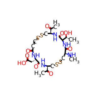 CN[C@H]1CSSC[C@@H](C(C)=O)NC(=O)[C@H](CC(=O)O)NC(=O)CCSSC[C@@H](C(C)=O)NC(=O)C([C@@H](C)O)NC1=O